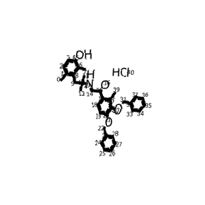 Cc1ccc(O)c(C)c1CC(C)(C)NCC(=O)c1ccc(OCc2ccccc2)c(OCc2ccccc2)c1C.Cl